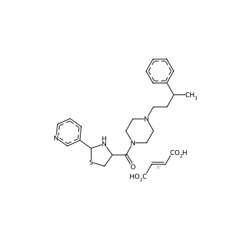 CC(CCN1CCN(C(=O)C2CSC(c3cccnc3)N2)CC1)c1ccccc1.O=C(O)/C=C/C(=O)O